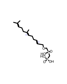 CC(C)=CCC/C(C)=C/CC/C=C/COCP(=O)(O)CP(=O)(O)O